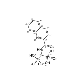 O=C(NC(P(=O)(O)O)P(=O)(O)O)c1ccc2ccccc2n1